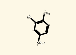 CNc1ccc(C(=O)O)cc1C#N